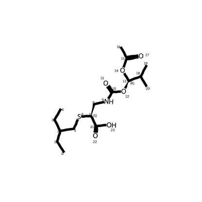 CCC(CC)CS[C@@H](CNC(=O)O[C@@H](OC(C)=O)C(C)C)C(=O)O